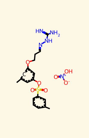 Cc1cc(OCCC=NNC(=N)N)cc(OS(=O)(=O)c2cccc(C)c2)c1.O=[N+]([O-])O